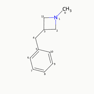 CN1CC(Cc2ccccc2)C1